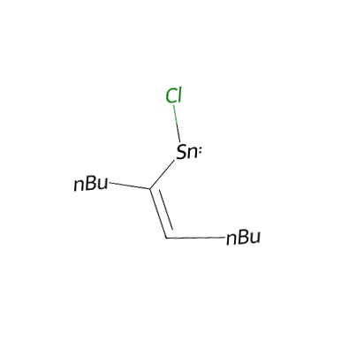 CCCCC=[C](CCCC)[Sn][Cl]